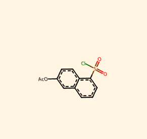 CC(=O)Oc1ccc2c(S(=O)(=O)Cl)cccc2c1